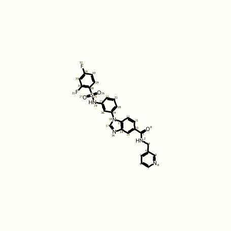 O=C(NCc1cccnc1)c1ccc2c(c1)ncn2-c1cccc(NS(=O)(=O)c2ccc(F)cc2F)c1